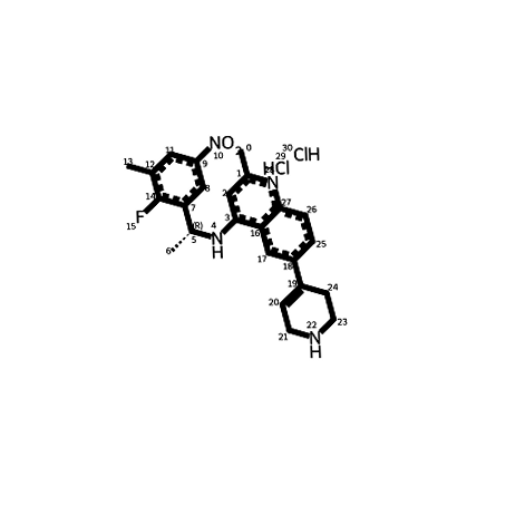 Cc1cc(N[C@H](C)c2cc([N+](=O)[O-])cc(C)c2F)c2cc(C3=CCNCC3)ccc2n1.Cl.Cl